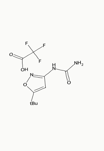 CC(C)(C)c1cc(NC(N)=O)no1.O=C(O)C(F)(F)F